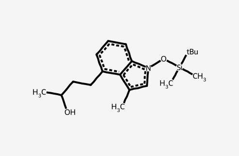 Cc1cn(O[Si](C)(C)C(C)(C)C)c2cccc(CCC(C)O)c12